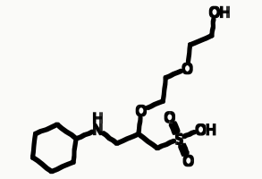 O=S(=O)(O)CC(CNC1CCCCC1)OCCOCCO